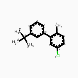 Cc1ccc(Cl)cc1-c1cccc(C(C)(C)C)c1